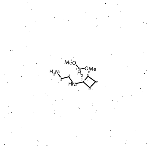 CO[SiH2]OC.NCCNC1CCC1